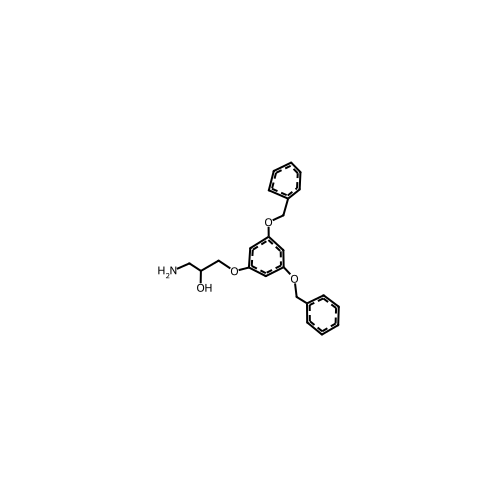 NCC(O)COc1cc(OCc2ccccc2)cc(OCc2ccccc2)c1